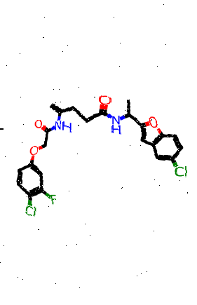 C=C(CCC(=O)NC(C)c1cc2cc(Cl)ccc2o1)NC(=O)COc1ccc(Cl)c(F)c1